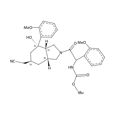 COc1ccccc1C(NC(=O)OC(C)(C)C)C(=O)N1C[C@@H]2C[C@@H](CC#N)C[C@@](O)(c3ccccc3OC)[C@@H]2C1